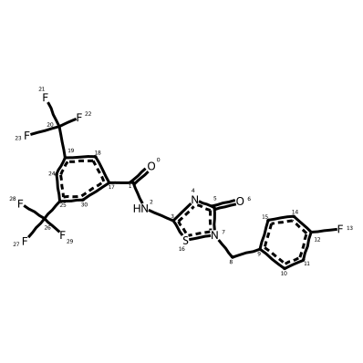 O=C(Nc1nc(=O)n(Cc2ccc(F)cc2)s1)c1cc(C(F)(F)F)cc(C(F)(F)F)c1